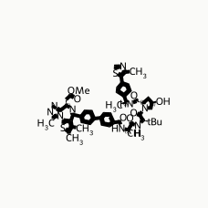 COC(=O)C[C@@H]1N=C(c2ccc(-c3ccc(C(=O)N[C@@H](C)C(=O)N[C@H](C(=O)N4C[C@H](O)C[C@H]4C(=O)N[C@@H](C)c4ccc(-c5scnc5C)cc4)C(C)(C)C)cc3)cc2)c2c(sc(C)c2C)-n2c(C)nnc21